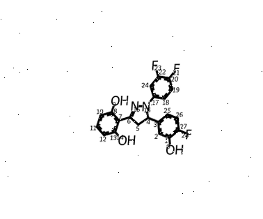 Oc1cc(C2CC(c3c(O)cccc3O)=NN2c2ccc(F)c(F)c2)ccc1F